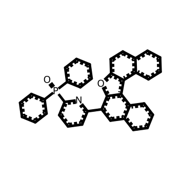 O=P(c1ccccc1)(c1ccccc1)c1cccc(-c2cc3ccccc3c3c2oc2ccc4ccccc4c23)n1